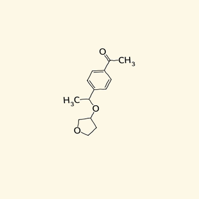 CC(=O)c1ccc(C(C)OC2CCOC2)cc1